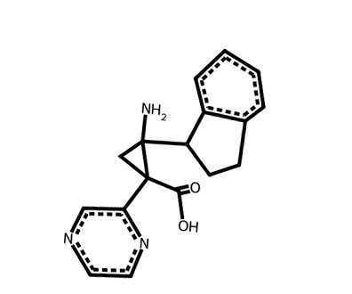 NC1(C2CCc3ccccc32)CC1(C(=O)O)c1cnccn1